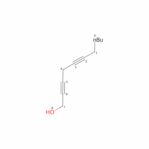 CCCCCC#CCC#CCO